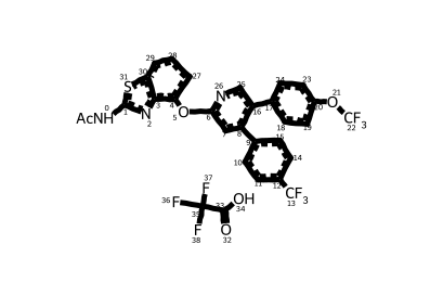 CC(=O)Nc1nc2c(Oc3cc(-c4ccc(C(F)(F)F)cc4)c(-c4ccc(OC(F)(F)F)cc4)cn3)cccc2s1.O=C(O)C(F)(F)F